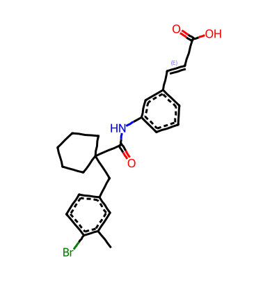 Cc1cc(CC2(C(=O)Nc3cccc(/C=C/C(=O)O)c3)CCCCC2)ccc1Br